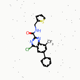 O=C(NCc1cccs1)c1nc(Cl)c2cc(-c3ccccc3)cc(C(F)(F)F)c2n1